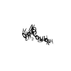 Cc1ccccc1N1CCN(C(=O)Cc2ccc(NC(=O)c3ccc4[nH]cnc4c3)cc2)C(C(N)=O)C1